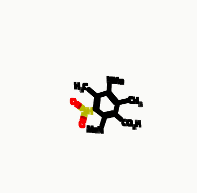 CNc1c(C)c(C(=O)O)c(NC)c([SH](=O)=O)c1C